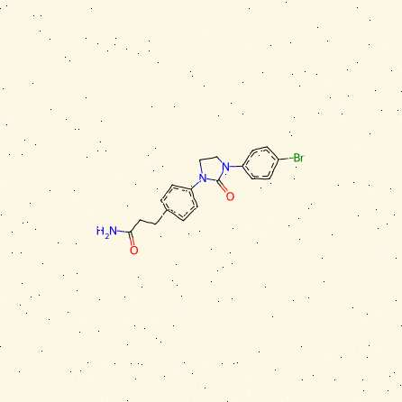 NC(=O)CCc1ccc(N2CCN(c3ccc(Br)cc3)C2=O)cc1